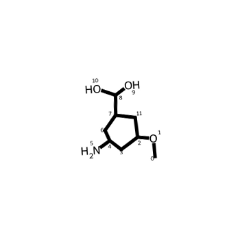 COC1CC(N)CC(C(O)O)C1